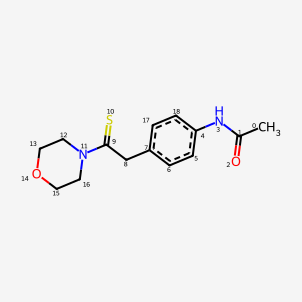 CC(=O)Nc1ccc(CC(=S)N2CCOCC2)cc1